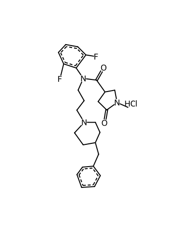 CN1CC(C(=O)N(CCCN2CCC(Cc3ccccc3)CC2)c2c(F)cccc2F)CC1=O.Cl